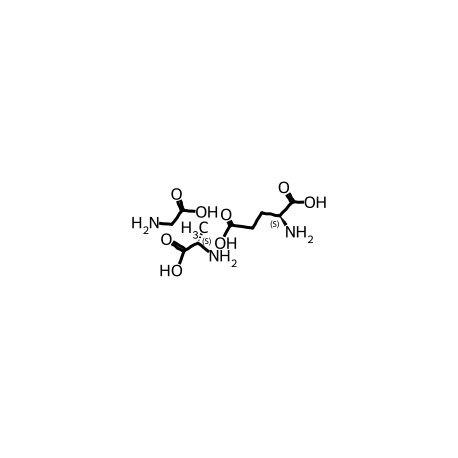 C[C@H](N)C(=O)O.NCC(=O)O.N[C@@H](CCC(=O)O)C(=O)O